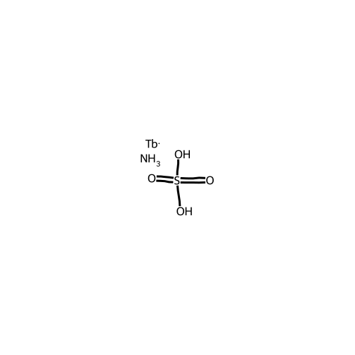 N.O=S(=O)(O)O.[Tb]